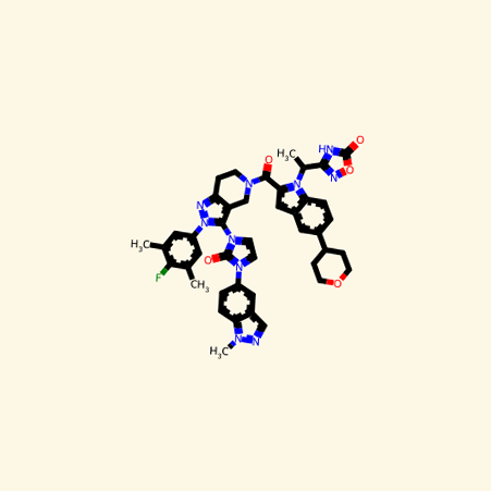 Cc1cc(-n2nc3c(c2-n2ccn(-c4ccc5c(cnn5C)c4)c2=O)CN(C(=O)c2cc4cc(C5CCOCC5)ccc4n2C(C)c2noc(=O)[nH]2)CC3)cc(C)c1F